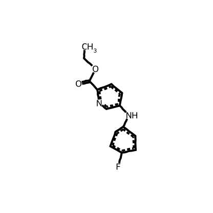 CCOC(=O)c1ccc(Nc2ccc(F)cc2)cn1